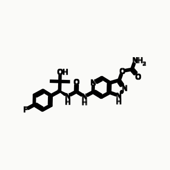 CC(C)(O)[C@@H](NC(=O)Nc1cc2[nH]nc(OC(N)=O)c2cn1)c1ccc(F)cc1